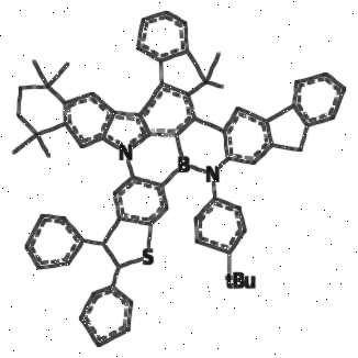 CC(C)(C)c1ccc(N2B3c4cc5c(cc4-n4c6cc7c(cc6c6c8c(c(c3c64)-c3cc4c(cc32)Cc2ccccc2-4)C(C)(C)c2ccccc2-8)C(C)(C)CCC7(C)C)C(c2ccccc2)C(c2ccccc2)S5)cc1